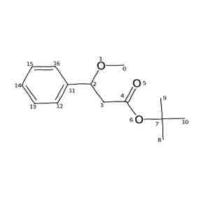 COC(CC(=O)OC(C)(C)C)c1ccccc1